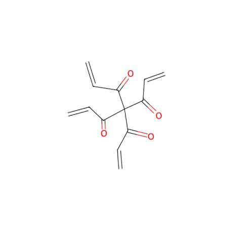 C=CC(=O)C(C(=O)C=C)(C(=O)C=C)C(=O)C=C